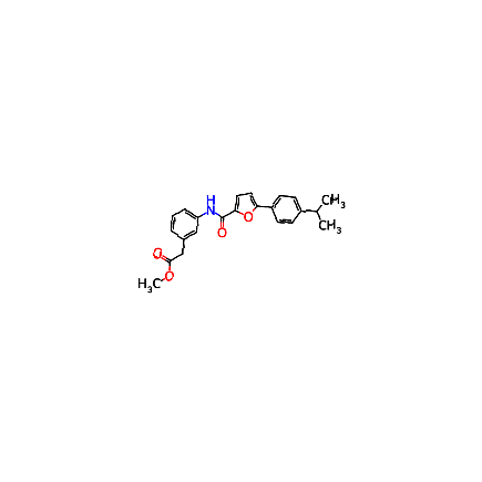 COC(=O)Cc1cccc(NC(=O)c2ccc(-c3ccc(C(C)C)cc3)o2)c1